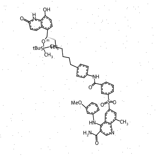 COc1cccc(Nc2c(C(N)=O)cnc3c(C)cc(S(=O)(=O)c4cccc(C(=O)Nc5ccc(CCCCNC[C@H](O[Si](C)(C)C(C)(C)C)c6ccc(O)c7[nH]c(=O)ccc67)cc5)c4)cc23)c1